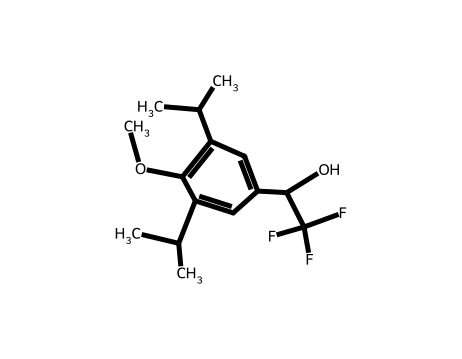 COc1c(C(C)C)cc(C(O)C(F)(F)F)cc1C(C)C